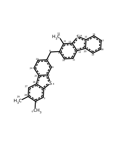 Cc1cc2sc3cc(Cc4ccc5c(sc6ccccc65)c4C)ccc3c2cc1C